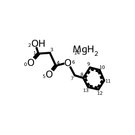 O=C(O)CC(=O)OCc1ccccc1.[MgH2]